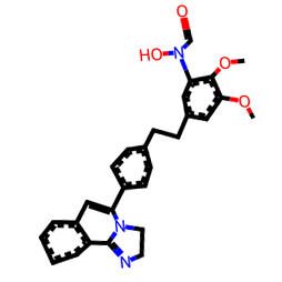 COc1cc(CCc2ccc(C3=Cc4ccccc4C4=NCCN34)cc2)cc(N(O)C=O)c1OC